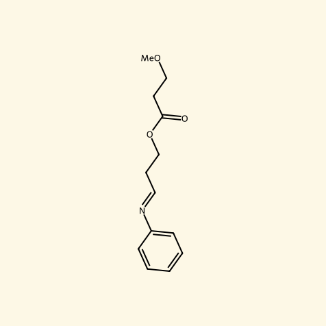 COCCC(=O)OCCC=Nc1ccccc1